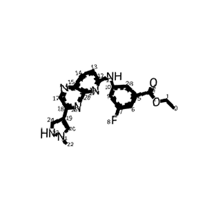 CCOC(=O)c1cc(F)cc(Nc2ccc3ncc(C4=CN(C)NC4)nc3n2)c1